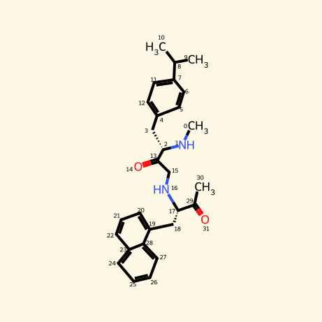 CN[C@@H](Cc1ccc(C(C)C)cc1)C(=O)CN[C@@H](Cc1cccc2ccccc12)C(C)=O